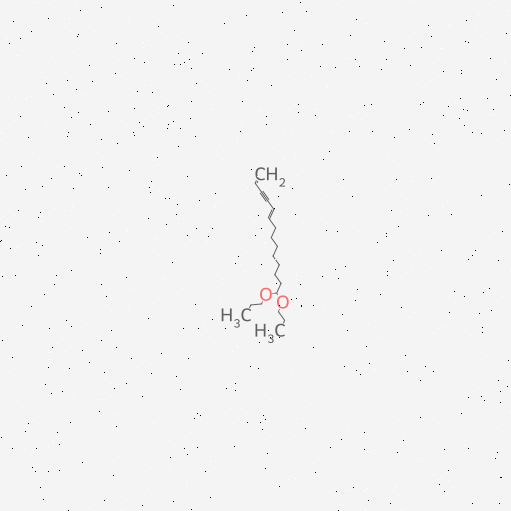 C=CC#C/C=C/CCCCCCCC(OCCC)OCCC